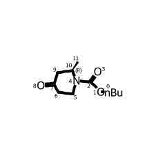 CCCCOC(=O)N1CCC(=O)C[C@H]1C